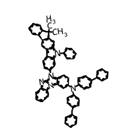 CC1(C)c2ccccc2-c2cc3c4ccc(-n5c6ccc(N(c7ccc(-c8ccccc8)cc7)c7ccc(-c8ccccc8)cc7)cc6n6c7ccccc7nc56)cc4n(-c4ccccc4)c3cc21